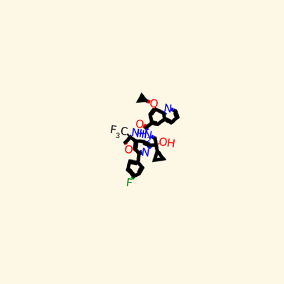 N[C@@]1(C(F)(F)F)COc2c1cc([C@@](O)(CNC(=O)c1cc(OC3CC3)c3ncccc3c1)C1CC1)nc2-c1ccc(F)cc1